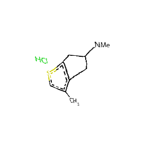 CNC1Cc2scc(C)c2C1.Cl